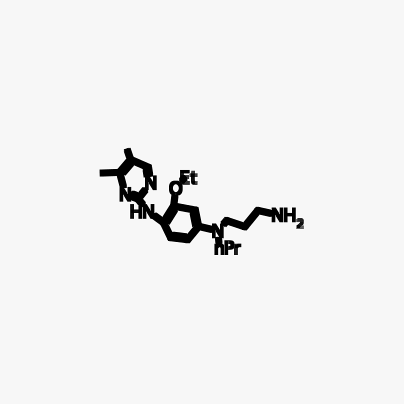 CCCN(CCCN)c1ccc(Nc2ncc(C)c(C)n2)c(OCC)c1